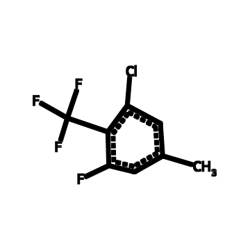 Cc1cc(F)c(C(F)(F)F)c(Cl)c1